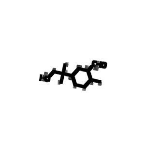 CC1CCC(C(C)(C)CO)CC1C=O